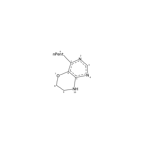 CCCCCc1ncnc2c1OCCN2